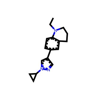 CCN1CCCc2cc(-c3cnn(C4CC4)c3)ccc21